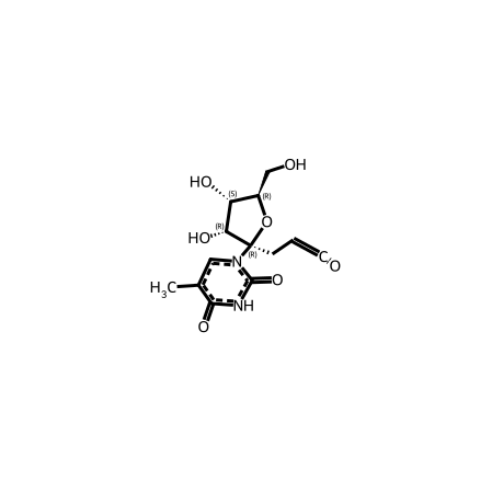 Cc1cn([C@]2(CC=C=O)O[C@H](CO)[C@@H](O)[C@H]2O)c(=O)[nH]c1=O